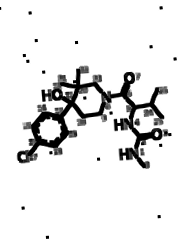 CNC(=O)NC(C(=O)N1CCC(O)(c2ccc(Cl)cc2)C(C)(C)C1)C(C)C